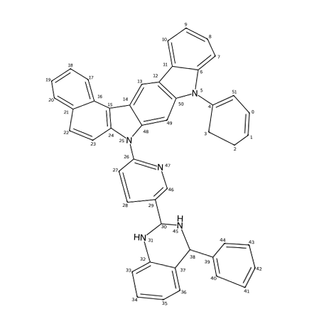 C1=CCCC(n2c3ccccc3c3cc4c5c6ccccc6ccc5n(-c5ccc(C6Nc7ccccc7C(c7ccccc7)N6)cn5)c4cc32)=C1